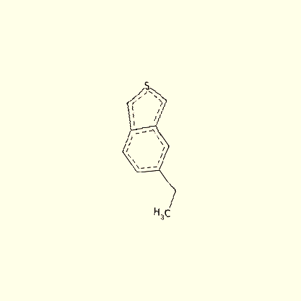 CCc1ccc2cscc2c1